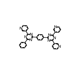 c1ccc(-c2nc(-c3ccc(-c4nc(-c5cccnc5)nc(-c5cccnc5)n4)cc3)nc(-c3cccnc3)n2)cc1